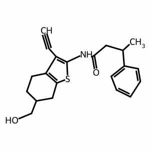 C#Cc1c(NC(=O)CC(C)c2ccccc2)sc2c1CCC(CO)C2